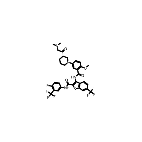 COc1ccc(N2CCC[C@H](C(=O)CN(C)C)C2)cc1C(=O)Nc1c(C(=O)Nc2ccc(F)c(C(F)(F)F)c2)sc2cc(C(F)(F)F)ccc12